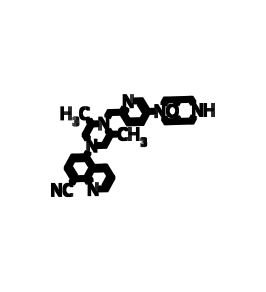 CC1CN(c2ccc(C#N)c3ncccc23)CC(C)N1Cc1ccc(N2CC3CNCC(C2)O3)cn1